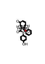 O=C1C=C[C@H]2[C@@H]3C(=O)N(c4ccc(O)cc4)C(=O)[C@@H]3[C@@H]1N2Cc1ccccc1